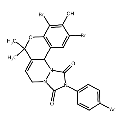 CC(=O)c1ccc(-n2c(=O)n3n(c2=O)C2C(=CC3)C(C)(C)Oc3c2cc(Br)c(O)c3Br)cc1